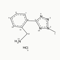 Cl.Cn1nnc(-c2ccccc2CN)n1